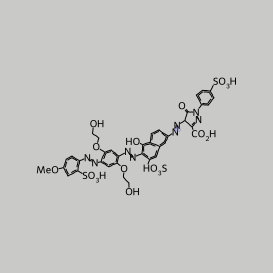 COc1ccc(N=Nc2cc(OCCO)c(N=Nc3c(S(=O)(=O)O)cc4cc(/N=N/C5C(=O)N(c6ccc(S(=O)(=O)O)cc6)N=C5C(=O)O)ccc4c3O)cc2OCCO)c(S(=O)(=O)O)c1